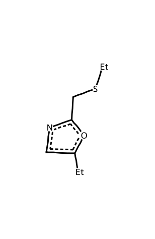 CCSCc1ncc(CC)o1